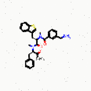 CNC(=O)[C@@H](Cc1ccccc1)N(C)C(=O)[C@@H](Cc1csc2ccccc12)N(C)C(=O)c1cccc(CN)c1